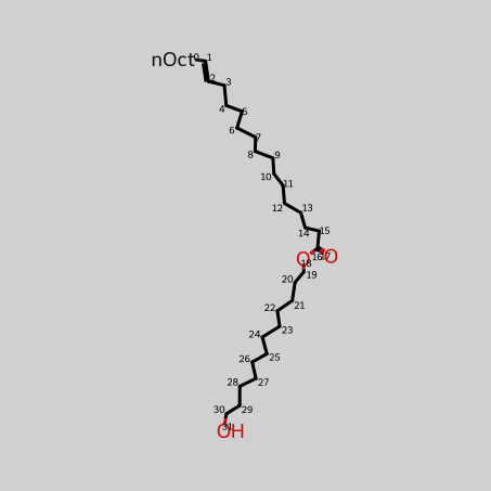 CCCCCCCCC=CCCCCCCCCCCCCCC(=O)OCCCCCCCCCCCCO